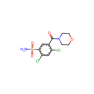 NS(=O)(=O)c1cc(C(=O)N2CCOCC2)c(Cl)cc1Cl